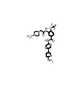 CN1CCN(CC(=O)Nc2cc(C(=O)Nc3cnc(-c4ccc(N)nc4)cn3)ccc2OC(F)(F)F)CC1